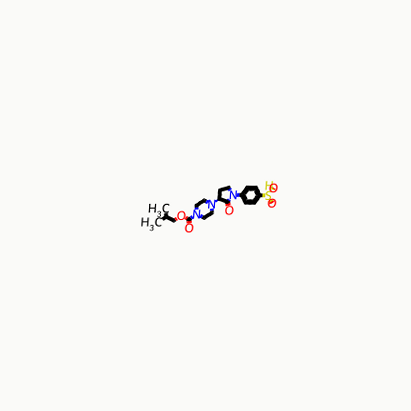 CC(C)COC(=O)N1CCN([C@H]2CCN(c3ccc([SH](=O)=O)cc3)C2=O)CC1